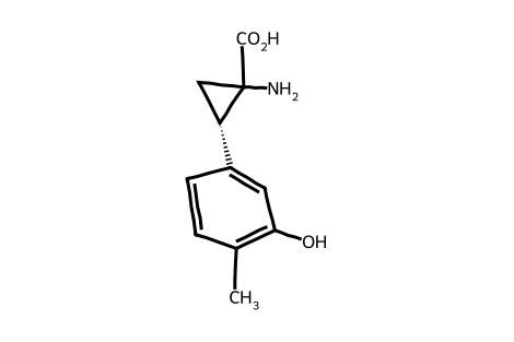 Cc1ccc([C@@H]2CC2(N)C(=O)O)cc1O